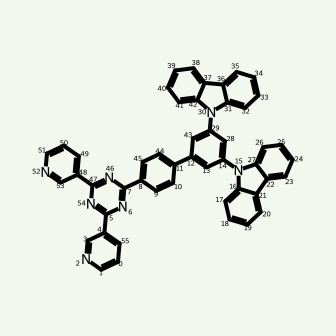 c1cncc(-c2nc(-c3ccc(-c4cc(-n5c6ccccc6c6ccccc65)cc(-n5c6ccccc6c6ccccc65)c4)cc3)nc(-c3cccnc3)n2)c1